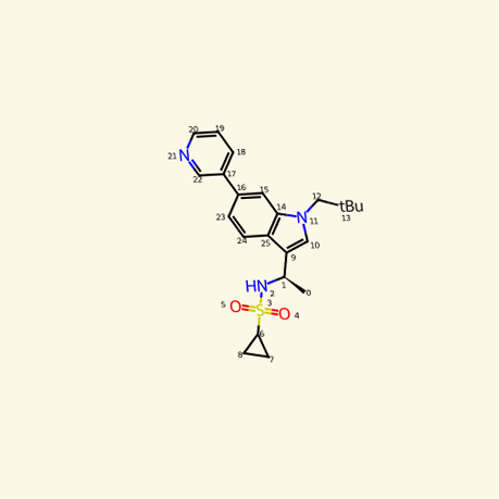 C[C@@H](NS(=O)(=O)C1CC1)c1cn(CC(C)(C)C)c2cc(-c3cccnc3)ccc12